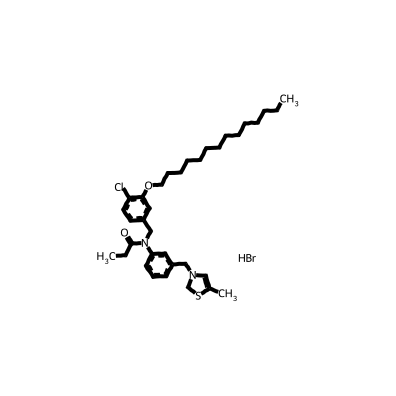 Br.CCCCCCCCCCCCCCOc1cc(CN(C(=O)CC)c2cccc(CN3C=C(C)SC3)c2)ccc1Cl